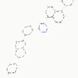 Clc1nc(-c2cccc(-c3ccc4cc(-c5ccccc5)ccc4c3)c2)nc(-c2cccc3c(-c4ccccc4)cccc23)n1